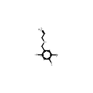 C=CCOCc1cc(Br)c(F)cc1F